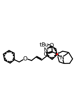 CC(C)(C)OC(=O)N1CC2CCC(C1)N2c1ccnc(/C=C/COCc2ccccc2)c1